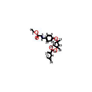 CCOC(=O)/C=C/c1ccc(OC(C)(C)CC(C)(C)OC(=O)C(C)CC(C)C)cc1